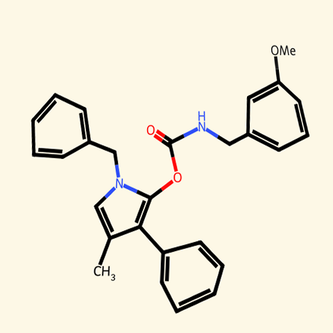 COc1cccc(CNC(=O)Oc2c(-c3ccccc3)c(C)cn2Cc2ccccc2)c1